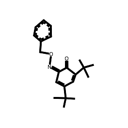 CC(C)(C)C1=CC(=NOCc2ccccc2)C(=O)C(C(C)(C)C)=C1